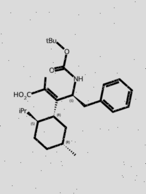 CC(C(=O)O)=C([C@H](Cc1ccccc1)NC(=O)OC(C)(C)C)[C@@H]1C[C@H](C)CC[C@H]1C(C)C